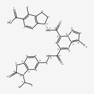 Cc1c(C(=O)O)ccc2c1CC[C@@H]2NC(=O)c1cc(C(=O)NCc2ccc3oc(=O)n(C(C)C)c3c2)nc2c(F)cnn12